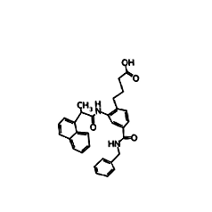 CC(C(=O)Nc1cc(C(=O)NCc2ccccc2)ccc1CCCC(=O)O)c1cccc2ccccc12